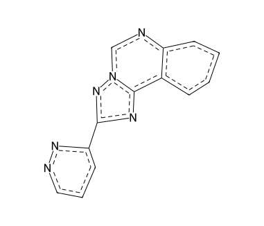 c1cnnc(-c2nc3c4ccccc4ncn3n2)c1